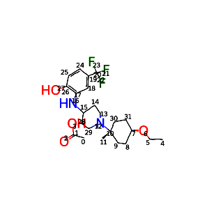 CC(=O)O.CCO[C@H]1CC[C@](C)(N2CCC(Nc3cc(C(F)(F)F)ccc3O)CC2)CC1